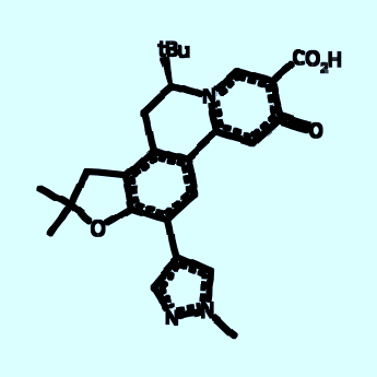 Cn1cc(-c2cc3c(c4c2OC(C)(C)C4)C[C@@H](C(C)(C)C)n2cc(C(=O)O)c(=O)cc2-3)cn1